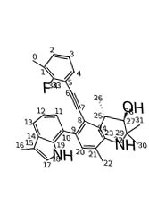 Cc1cccc(C#Cc2c(-c3cccc4c(C)c[nH]c34)cc(C)c3c2[C@H](C)[C@@H](O)C(C)(C)N3)c1F